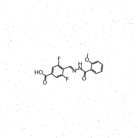 COc1ccccc1C(=O)NN=Cc1c(F)cc(C(=O)O)cc1F